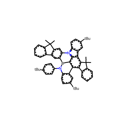 CC(C)(C)c1ccc(N2B3c4cc5c(cc4-n4c6ccc(C(C)(C)C)cc6c6c7c(c(c3c64)-c3cc(C(C)(C)C)ccc32)-c2ccccc2C7(C)C)C(C)(C)c2ccccc2-5)cc1